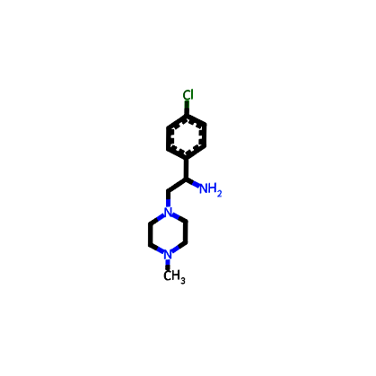 CN1CCN(CC(N)c2ccc(Cl)cc2)CC1